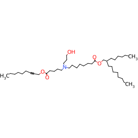 CCCCCCC#CCOC(=O)CCCCN(CCCO)CCCCCCCC(=O)OCC(CCCCCC)CCCCCCCC